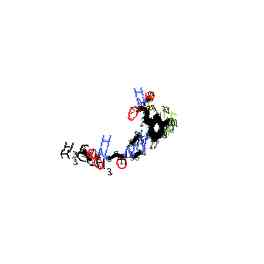 CC(C)(C)OC(=O)NCCC(=O)N1CCN(c2ccc(C(F)(F)F)cc2/C=C2\SC(=O)NC2=O)CC1